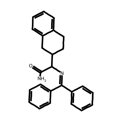 NC(=O)C(N=C(c1ccccc1)c1ccccc1)C1CCc2ccccc2C1